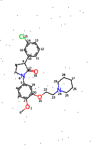 COc1ccc(N2CCC(c3cccc(Cl)c3)C2=O)cc1OCCN1CCCCC1